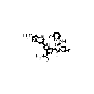 Cc1cccc(NC(=O)[C@@H]2C[C@@H](F)CN2C(=O)Cn2nc(C(N)=O)c3sc(-c4cnc5cc(C)nn5c4)nc32)n1